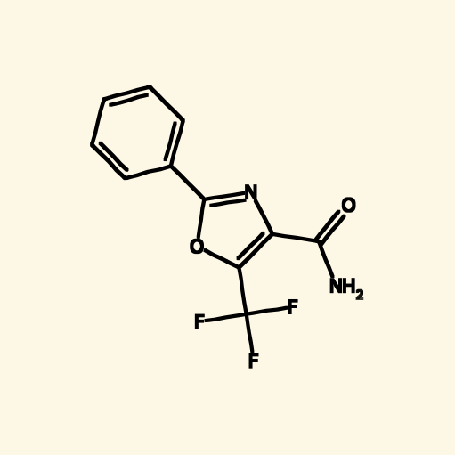 NC(=O)c1nc(-c2ccccc2)oc1C(F)(F)F